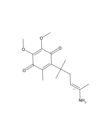 COC1=C(OC)C(=O)C(C(C)(C)C/C=C(\C)N)=C(C)C1=O